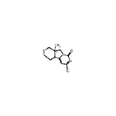 C[C@]12COCCN1c1cc(Cl)nc(=O)n1C2